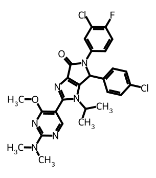 COc1nc(N(C)C)ncc1-c1nc2c(n1C(C)C)C(c1ccc(Cl)cc1)N(c1ccc(F)c(Cl)c1)C2=O